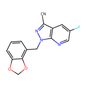 N#Cc1nn(Cc2cccc3c2OCO3)c2ncc(F)cc12